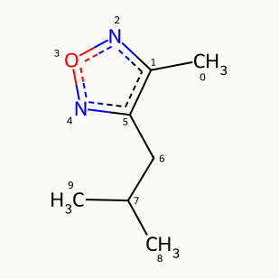 Cc1nonc1CC(C)C